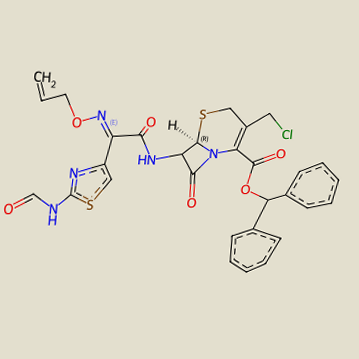 C=CCO/N=C(/C(=O)NC1C(=O)N2C(C(=O)OC(c3ccccc3)c3ccccc3)=C(CCl)CS[C@H]12)c1csc(NC=O)n1